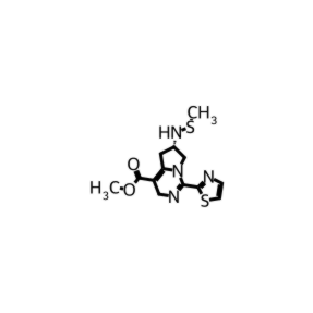 COC(=O)C1=C2C[C@H](NSC)CN2C(c2nccs2)=NC1